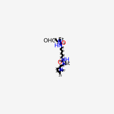 CCN(CCC=O)C(=O)NCCCCCCNC(=O)N(CC)CCC1CCC(C)N1C